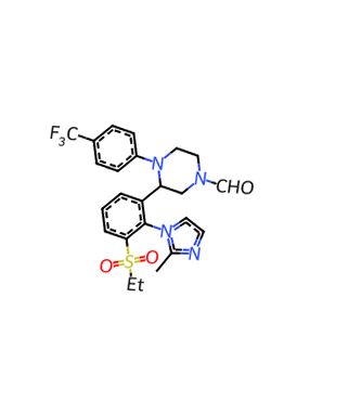 CCS(=O)(=O)c1cccc(C2CN(C=O)CCN2c2ccc(C(F)(F)F)cc2)c1-n1ccnc1C